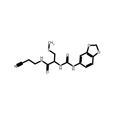 CSCC(NC(=O)Nc1ccc2c(c1)OCO2)C(=O)NCCC#N